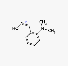 CN(C)c1ccccc1/C=N\O